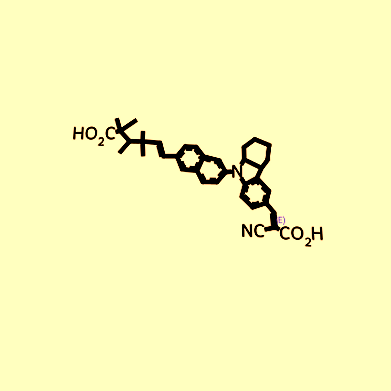 CC(C(C)(C)C=Cc1ccc2cc(N3c4ccc(/C=C(\C#N)C(=O)O)cc4C4CCCCC43)ccc2c1)C(C)(C)C(=O)O